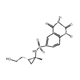 CCn1c(=O)c2cc(S(=O)(=O)N[C@]3(C)C[C@@H]3CCO)ccc2n(CC)c1=O